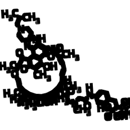 C/C1=C/C=C/[C@H](C)[C@H](OC(=O)CN(C)CC(=O)Nc2ccc(CC(P(=O)(O)O)P(=O)(O)O)cc2)[C@@H](C)[C@@H](O)[C@@H](C)[C@H](C)[C@H](C)[C@@H](C)/C=C/O[C@@]2(C)Oc3c(C)c(O)c4c(c3C2=O)C2=NC3(CCN(CC(C)C)CC3)NC2=C(NC1=O)C4=O